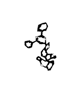 c1ccc(-c2cc(-c3csc4c5c(ccc34)C3(c4ccccc4Oc4ccccc43)c3ccccc3-5)nc(-c3ccccc3)n2)cc1